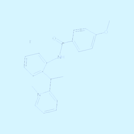 COc1ccc(C(=O)Nc2ccccc2C(C)c2cccc[n+]2C)cc1.[I-]